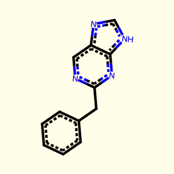 c1ccc(Cc2ncc3nc[nH]c3n2)cc1